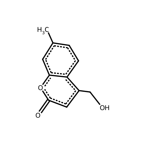 Cc1ccc2c(CO)cc(=O)oc2c1